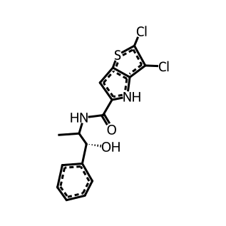 CC(NC(=O)c1cc2sc(Cl)c(Cl)c2[nH]1)[C@H](O)c1ccccc1